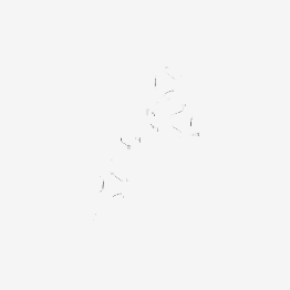 COc1ccc(CCC(=O)NCC(=O)NC(c2ccccc2)c2ccc(Cl)cc2)cc1